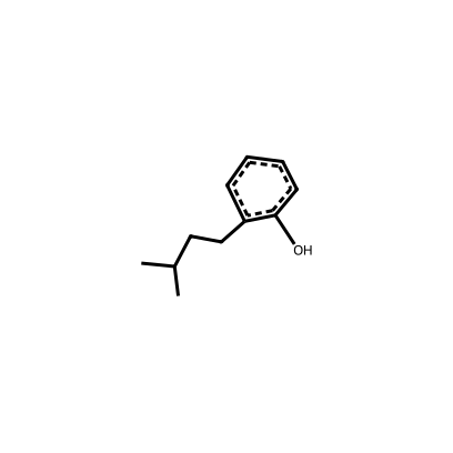 CC(C)CCc1ccccc1O